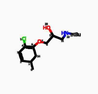 CC1C=CC(Cl)=C(OCC(O)CNC(C)(C)C)C1